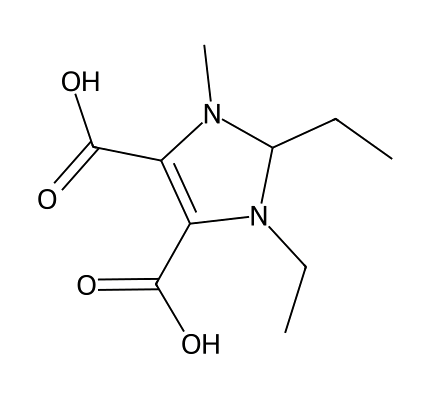 CCC1N(C)C(C(=O)O)=C(C(=O)O)N1CC